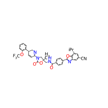 CC(C)c1cc(C#N)cc2nc(-c3ccc(C(=O)NC[C@@]4(C)CN(C5=NCC(c6ccccc6OC(F)(F)F)C=C5)C(=O)O4)cc3)oc12